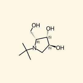 CC(C)(C)N1C[C@H](O)[C@@H](O)[C@H]1CO